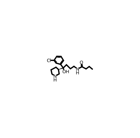 CCCC(=O)NCCCC(O)(c1cccc(Cl)c1)[C@@H]1CCCNC1